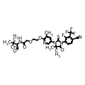 Cc1cc(N2C(=S)N(c3ccc(C#N)c(C(F)(F)F)c3F)C(=O)C2(C)C)cnc1OCCOCC(=O)NC(C=O)C(C)(C)C